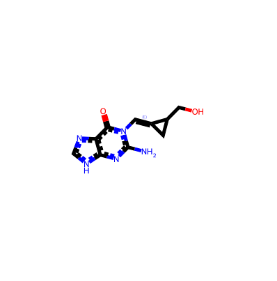 Nc1nc2[nH]cnc2c(=O)n1/C=C1\CC1CO